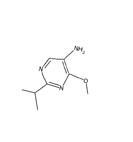 COc1nc(C(C)C)ncc1N